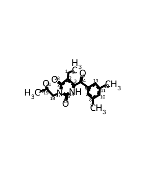 CCc1c(C(=O)c2cc(C)cc(C)c2)[nH]c(=O)n(CC(C)=O)c1=O